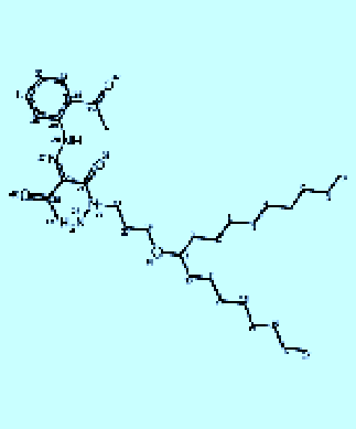 CCCCCCCCCC(CCCCCCCC)OCCCN(N)C(=O)/C(=N\Nc1ccccc1C(C)=O)C(C)=O